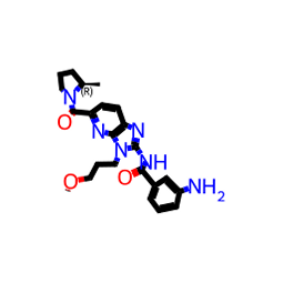 COCCCn1c(NC(=O)c2cccc(N)c2)nc2ccc(C(=O)N3CCC[C@H]3C)nc21